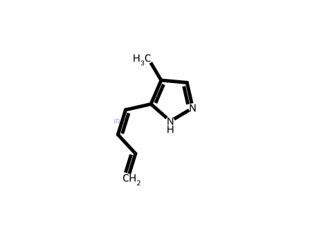 C=C/C=C\c1[nH]ncc1C